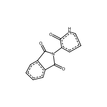 O=C1c2ccccc2C(=O)N1c1ccc[nH]c1=O